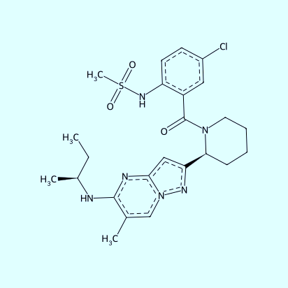 CC[C@H](C)Nc1nc2cc([C@@H]3CCCCN3C(=O)c3cc(Cl)ccc3NS(C)(=O)=O)nn2cc1C